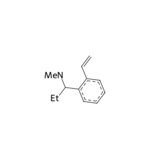 C=Cc1ccccc1C(CC)NC